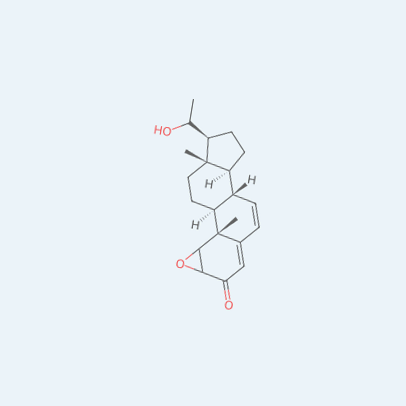 CC(O)[C@H]1CC[C@H]2[C@@H]3C=CC4=CC(=O)C5OC5[C@]4(C)[C@H]3CC[C@]12C